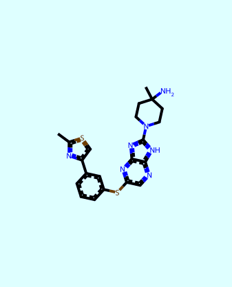 Cc1nc(-c2cccc(Sc3cnc4[nH]c(N5CCC(C)(N)CC5)nc4n3)c2)cs1